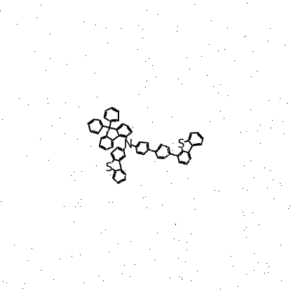 c1ccc(C2(c3ccccc3)c3ccccc3-c3c(N(c4ccc(-c5ccc(-c6cccc7c6sc6ccccc67)cc5)cc4)c4ccc5sc6ccccc6c5c4)cccc32)cc1